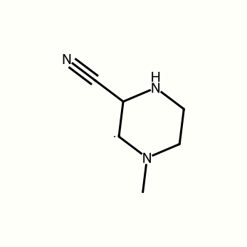 CN1[CH]C(C#N)NCC1